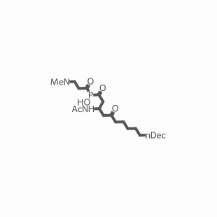 CCCCCCCCCCCCCCCC(=O)CC(CC(=O)P(O)C(=O)CCNC)NC(C)=O